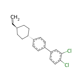 C=C[C@H]1CC[C@H](c2ccc(-c3ccc(Cl)c(Cl)c3)cc2)CC1